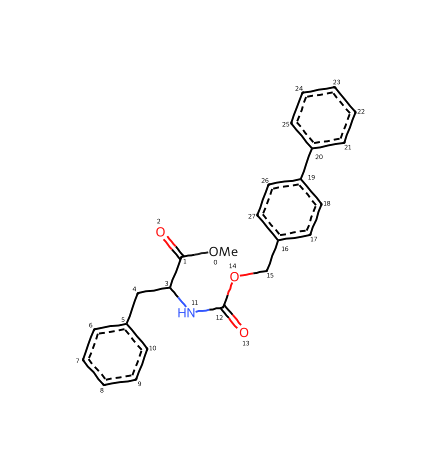 COC(=O)C(Cc1ccccc1)NC(=O)OCc1ccc(-c2ccccc2)cc1